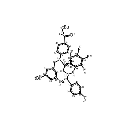 CC(C)(C)OC(=O)c1ccc(N(Cc2cc(C(C)(C)C)cc(C(C)(C)C)c2)C(=O)CN(Cc2ccc(Cl)cc2)Sc2c(F)c(F)c(F)c(F)c2F)cc1